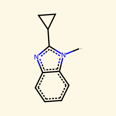 [CH2]n1c(C2CC2)nc2ccccc21